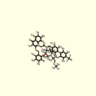 [2H]c1c([2H])c(F)c(F)c(CSc2c([2H])c(=O)c3c([2H])c([2H])c([2H])c([2H])c3n2CC(=O)N(Cc2c([2H])c([2H])c(-c3c([2H])c([2H])c(C(F)(F)F)c([2H])c3[2H])c([2H])c2C)C2([2H])C([2H])([2H])C([2H])([2H])N(C([2H])([2H])COC([2H])([2H])[2H])C([2H])([2H])C2([2H])[2H])c1[2H]